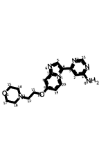 Nc1cc(-c2cnc3cc(OCCN4CCOCC4)ccn23)ncn1